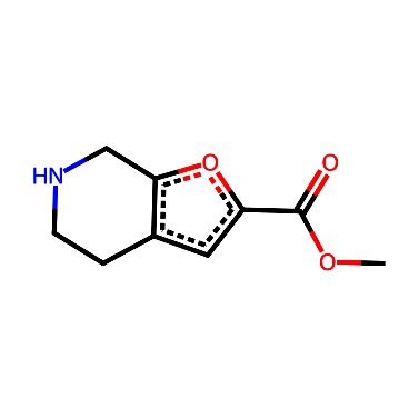 COC(=O)c1cc2c(o1)CNCC2